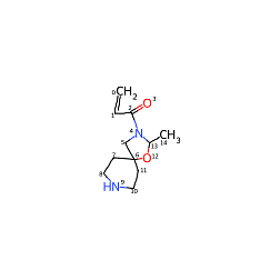 C=CC(=O)N1CC2(CCNCC2)OC1C